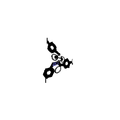 O=C(/C(=C\c1ccc(I)cc1)S(=O)(=O)Cc1ccc(I)cc1)c1ccc(I)cc1